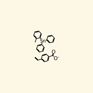 C=Cc1ccc(C(=O)[O-])cc1.Cc1cccc[c]1[Sn+]([c]1ccccc1)[c]1ccccc1